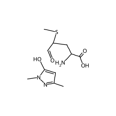 CSC(C=O)CC(N)C(=O)O.Cc1cc(O)n(C)n1